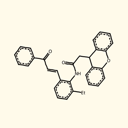 CCc1cccc(/C=C/C(=O)c2ccccc2)c1NC(=O)CC1c2ccccc2Oc2ccccc21